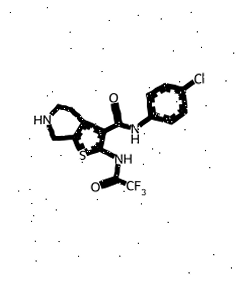 O=C(Nc1ccc(Cl)cc1)c1c(NC(=O)C(F)(F)F)sc2c1CCNC2